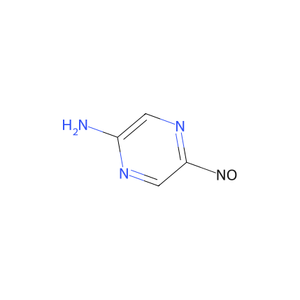 Nc1cnc(N=O)cn1